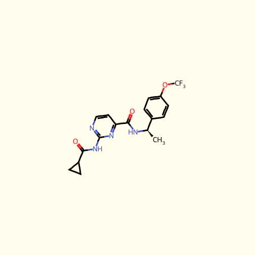 C[C@@H](NC(=O)c1ccnc(NC(=O)C2CC2)n1)c1ccc(OC(F)(F)F)cc1